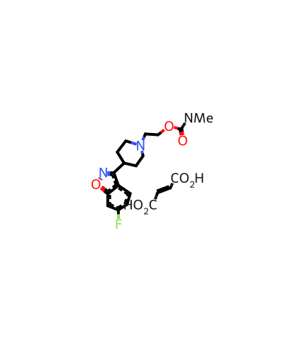 CNC(=O)OCCN1CCC(c2noc3cc(F)ccc23)CC1.O=C(O)/C=C/C(=O)O